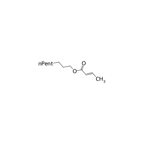 [CH2]CCCCCCCOC(=O)C=CC